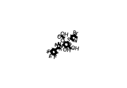 O=C(O)COC1C(Sc2cncc(Br)c2)OC(CO)C(O)C1n1cc(-c2cc(F)c(F)c(F)c2)nn1